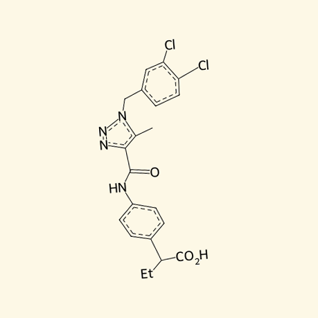 CCC(C(=O)O)c1ccc(NC(=O)c2nnn(Cc3ccc(Cl)c(Cl)c3)c2C)cc1